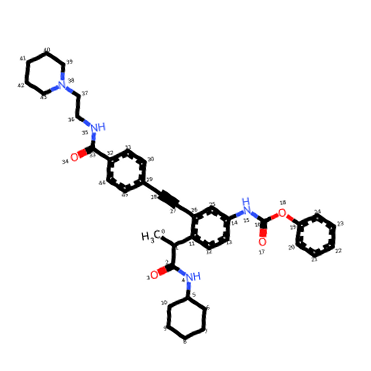 CC(C(=O)NC1CCCCC1)c1ccc(NC(=O)Oc2ccccc2)cc1C#Cc1ccc(C(=O)NCCN2CCCCC2)cc1